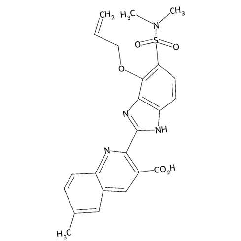 C=CCOc1c(S(=O)(=O)N(C)C)ccc2[nH]c(-c3nc4ccc(C)cc4cc3C(=O)O)nc12